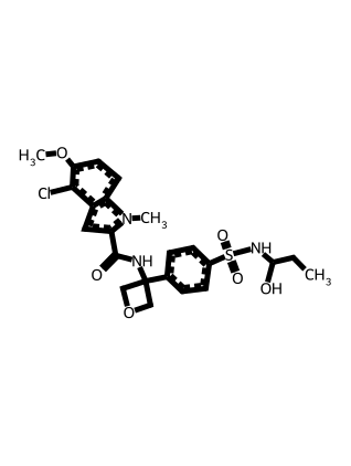 CCC(O)NS(=O)(=O)c1ccc(C2(NC(=O)c3cc4c(Cl)c(OC)ccc4n3C)COC2)cc1